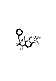 CCOC(=O)CN1C(C)=CC=C(NC(=O)OCc2ccccc2)C1O